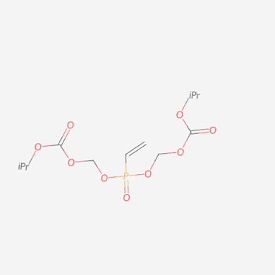 C=CP(=O)(OCOC(=O)OC(C)C)OCOC(=O)OC(C)C